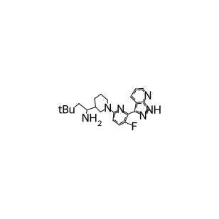 CC(C)(C)CC(N)C1CCCN(c2ccc(F)c(-c3n[nH]c4ncccc34)n2)C1